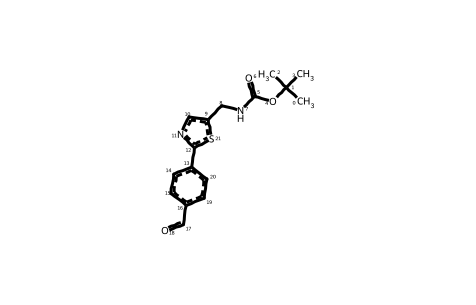 CC(C)(C)OC(=O)NCc1cnc(-c2ccc(C=O)cc2)s1